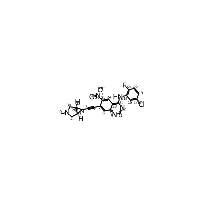 CN1C[C@@H]2C(C#Cc3cc4ncnc(Nc5cc(Cl)ccc5F)c4cc3[N+](=O)[O-])[C@@H]2C1